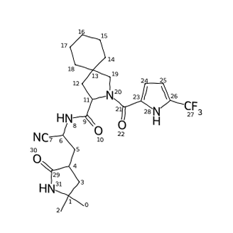 CC1(C)CC(CC(C#N)NC(=O)C2CC3(CCCCC3)CN2C(=O)c2ccc(C(F)(F)F)[nH]2)C(=O)N1